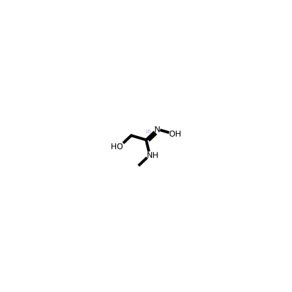 CN/C(CO)=N\O